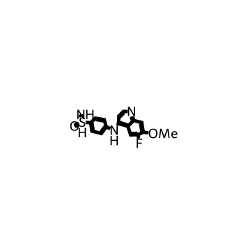 COc1cc2nccc(Nc3ccc([SH](=N)=O)cc3)c2cc1F